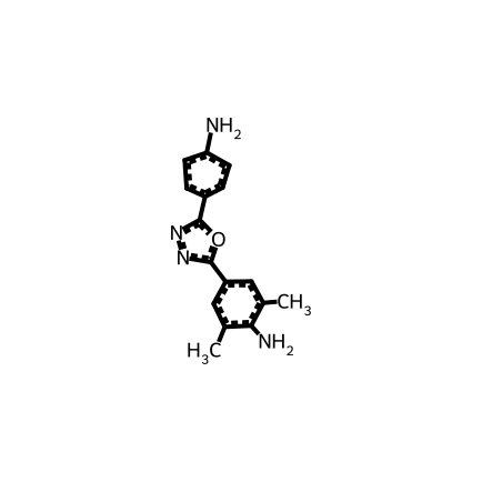 Cc1cc(-c2nnc(-c3ccc(N)cc3)o2)cc(C)c1N